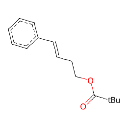 CC(C)(C)C(=O)OCC/C=C/c1ccccc1